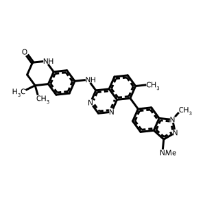 CNc1nn(C)c2cc(-c3c(C)ccc4c(Nc5ccc6c(c5)NC(=O)CC6(C)C)ncnc34)ccc12